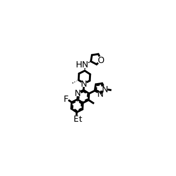 CCc1cc(F)c2nc(N3CC[C@@H](N[C@@H]4CCOC4)C[C@H]3C)c(-c3ccn(C)n3)c(C)c2c1